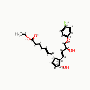 CCOC(=O)CCCC=CC[C@H]1C=C[C@@H](O)[C@@H]1C=CC(O)COc1ccc(F)cc1